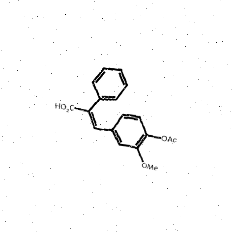 COc1cc(C=C(C(=O)O)c2ccccc2)ccc1OC(C)=O